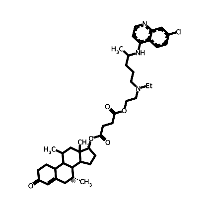 CCN(CCCC(C)Nc1ccnc2cc(Cl)ccc12)CCOC(=O)CCC(=O)OC1CCC2C3C(C(C)CC12C)C1CCC(=O)C=C1C[C@H]3C